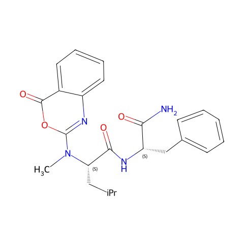 CC(C)C[C@@H](C(=O)N[C@@H](Cc1ccccc1)C(N)=O)N(C)c1nc2ccccc2c(=O)o1